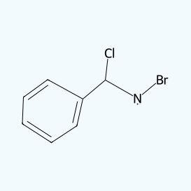 ClC([N]Br)c1ccccc1